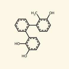 Cc1c(O)cccc1-c1ccccc1-c1cccc(O)c1O